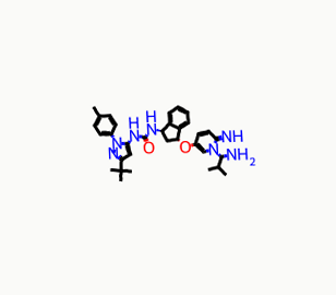 Cc1ccc(-n2nc(C(C)(C)C)cc2NC(=O)N[C@@H]2C[C@H](Oc3ccc(=N)n(C(N)C(C)C)c3)c3ccccc32)cc1